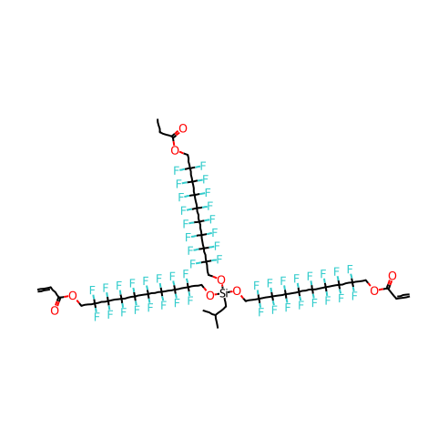 C=CC(=O)OCC(F)(F)C(F)(F)C(F)(F)C(F)(F)C(F)(F)C(F)(F)C(F)(F)C(F)(F)CO[Si](CC(C)C)(OCC(F)(F)C(F)(F)C(F)(F)C(F)(F)C(F)(F)C(F)(F)C(F)(F)C(F)(F)COC(=O)C=C)OCC(F)(F)C(F)(F)C(F)(F)C(F)(F)C(F)(F)C(F)(F)C(F)(F)C(F)(F)COC(=O)CC